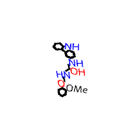 COc1ccccc1OCCNCC(O)CNc1ccc2[nH]c3ccccc3c2c1